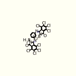 BN1C(=O)c2c(Cl)c(Cl)c(Cl)c(Cl)c2/C1=N/c1cccc(/N=C2/c3c(Cl)c(Cl)c(Cl)c(Cl)c3C(=O)N2B)c1